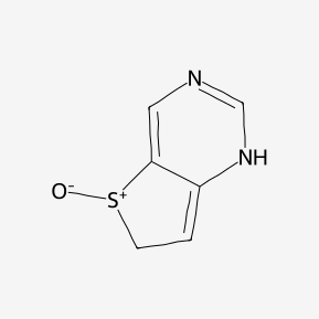 [O-][S+]1CC=C2NC=NC=C21